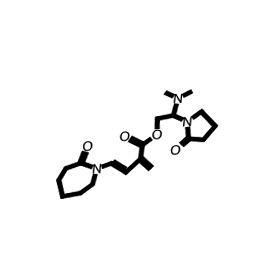 C=C(C=CN1CCCCCC1=O)C(=O)OCC(N(C)C)N1CCCC1=O